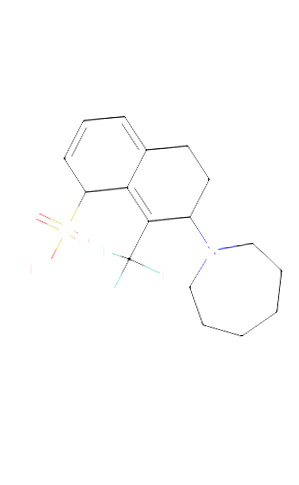 O=S(=O)(O)C1C=CC=C2CCC(N3CCCCCC3)C(C(F)(F)F)=C21